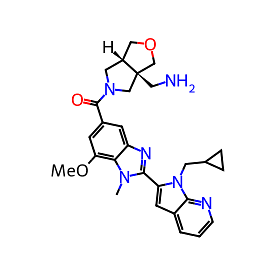 COc1cc(C(=O)N2C[C@@H]3COC[C@]3(CN)C2)cc2nc(-c3cc4cccnc4n3CC3CC3)n(C)c12